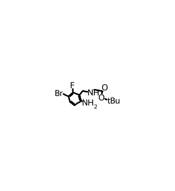 CC(C)(C)OC(=O)CNCc1c(N)ccc(Br)c1F